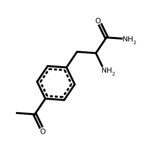 CC(=O)c1ccc(CC(N)C(N)=O)cc1